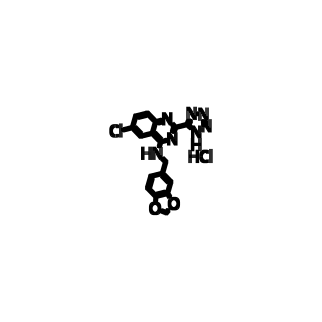 Cl.Clc1ccc2nc(-c3nnn[nH]3)nc(NCc3ccc4c(c3)OCO4)c2c1